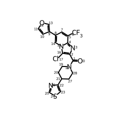 O=C(c1nc2c(C(F)(F)F)cc(-c3ccoc3)cn2c1Cl)N1CCC(c2cscn2)CC1